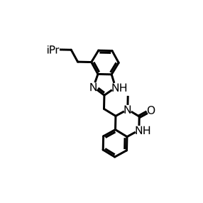 CC(C)CCc1cccc2[nH]c(CC3c4ccccc4NC(=O)N3C)nc12